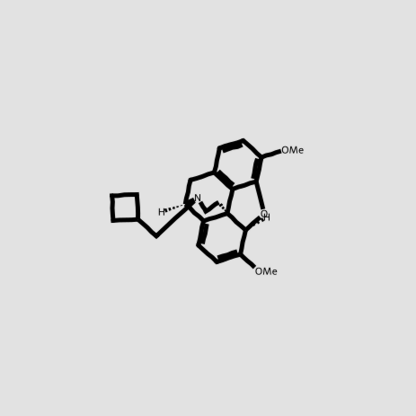 COC1=CC=C2[C@H]3Cc4ccc(OC)c5c4[C@@]2(CCN3CC2CCC2)[C@H]1O5